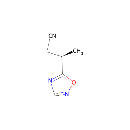 C[C@H](CC#N)c1ncno1